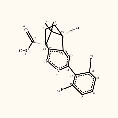 CC1(C)[C@H]2CC[C@]1(C(=O)C=O)c1nnc(-c3c(F)cccc3F)cc12